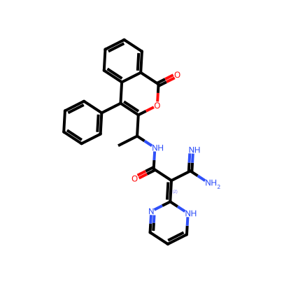 CC(NC(=O)/C(C(=N)N)=C1\N=CC=CN1)c1oc(=O)c2ccccc2c1-c1ccccc1